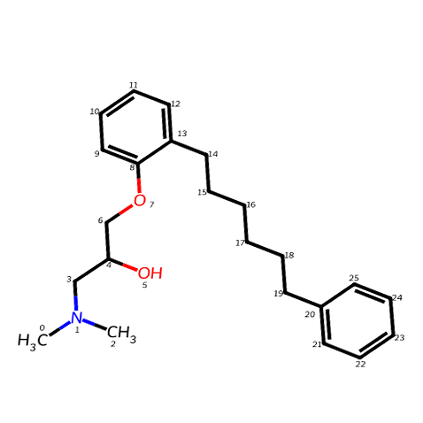 CN(C)CC(O)COc1ccccc1CCCCCCc1ccccc1